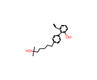 C=Cc1cccc(O)c1-c1ccc(CCCCCC(C)(C)O)cc1